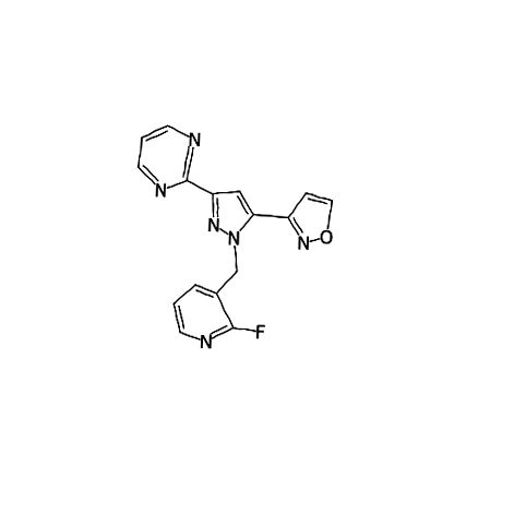 Fc1ncccc1Cn1nc(-c2ncccn2)cc1-c1ccon1